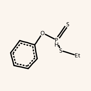 CCS[PH](=S)Oc1ccccc1